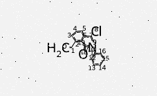 C=Cc1cccc2c(Cl)cn(-c3ccccc3)c(=O)c12